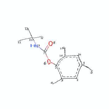 Cc1cc(C)c(OC(=O)NC(C)(C)C)c(C)c1